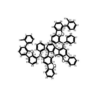 Cc1ccccc1-c1cccc2c1oc1c(N(c3ccccc3)c3cc4c5ccccc5oc4c4c3c3cccc5c6c(N(c7ccccc7)c7cccc8c7oc7c(-c9ccccc9C)cccc78)cc7c8ccccc8oc7c6n4c35)cccc12